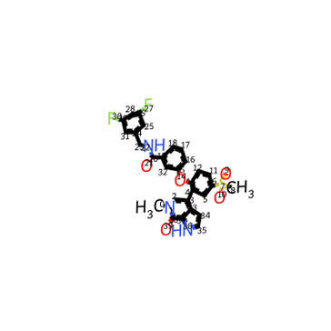 Cn1cc(-c2cc(S(C)(=O)=O)ccc2Oc2cccc(C(=O)NCc3cc(F)cc(F)c3)c2)c2cc[nH]c2c1=O